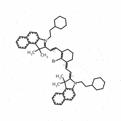 CC1(C)C(/C=C/C2=C(Br)C(=C/C=C3/N(CCC4CCCCC4)c4ccc5ccccc5c4C3(C)C)/CCC2)=[N+](CCC2CCCCC2)c2ccc3ccccc3c21